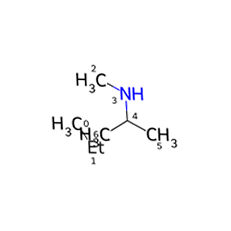 CCC.CNC(C)C